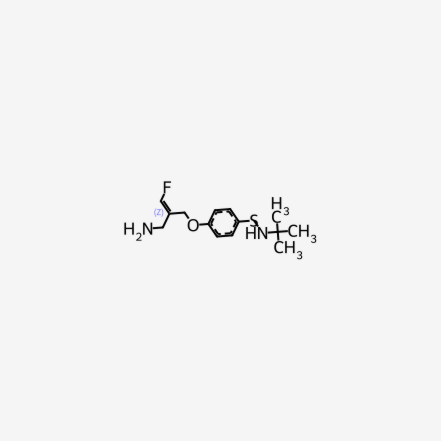 CC(C)(C)NSc1ccc(OC/C(=C\F)CN)cc1